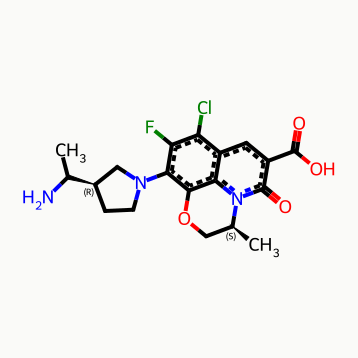 CC(N)[C@@H]1CCN(c2c(F)c(Cl)c3cc(C(=O)O)c(=O)n4c3c2OC[C@@H]4C)C1